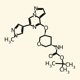 Cn1cc(-c2cn3nccc3c(O[C@@H]3COC[C@H](NC(=O)OC(C)(C)C)C3)n2)cn1